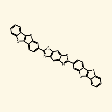 c1ccc2c(c1)sc1c3ccc(-c4nc5cc6nc(-c7ccc8c(c7)sc7c9ccccc9sc87)sc6cc5s4)cc3sc21